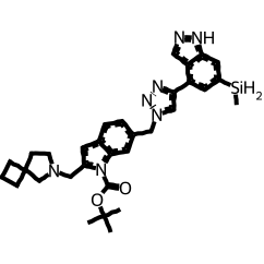 C[SiH2]c1cc(-c2cn(Cc3ccc4cc(CN5CCC6(CCC6)C5)n(C(=O)OC(C)(C)C)c4c3)nn2)c2cn[nH]c2c1